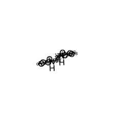 C=COOCCOC(=O)NCCC(C)CC(C)(C)CNC(=O)OCCOOC=C